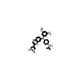 COc1cc(OC)cc(N(c2ccc3ncc(C4=CN(C)NC4)nc3c2)[C@H]2CC[C@@H](NC(C)C)CC2)c1